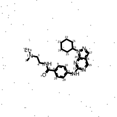 CCN(C)CCNC(=O)c1ccc(Nc2ncc3cnn(C4CCCCC4)c3n2)cc1